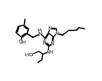 CCCCCn1cnc2c(NCc3cc(C)ccc3O)nc(NC(CC)CO)nc21